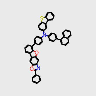 c1ccc(-c2nc3cc4oc5c(-c6ccc(N(c7ccc(-c8cccc9ccccc89)cc7)c7ccc8sc9ccccc9c8c7)cc6)cccc5c4cc3o2)cc1